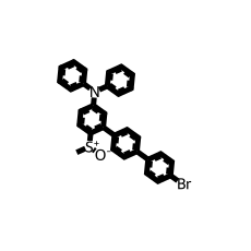 C[S+]([O-])c1ccc(N(c2ccccc2)c2ccccc2)cc1-c1ccc(-c2ccc(Br)cc2)cc1